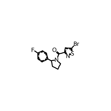 O=C(c1cc(Br)sn1)N1CCCC1c1ccc(F)cc1